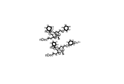 CCCCCCCCCCCCC(COc1ccccc1)OP(=S)([S-])OC(CCCCCCCCCCCC)COc1ccccc1.CCCCCCCCCCCCC(COc1ccccc1)OP(=S)([S-])OC(CCCCCCCCCCCC)COc1ccccc1.[Zn+2]